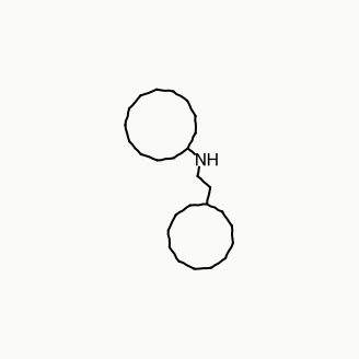 C1CCCCCC(CCNC2CCCCCCCCCCCC2)CCCCC1